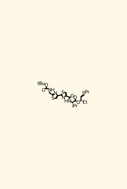 CCC/C=C/[C@H](CC)OC(=O)[C@@H](NC(=O)c1csc(-c2csc(CNC(=O)OC(C)(C)C)n2)n1)C(C)C